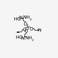 C#CCCOCC(COCCC#N)(COCC/C(N)=N\O)COCC/C(N)=N\O